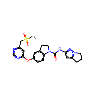 CS(=O)(=O)Cc1cc(Oc2ccc3c(c2)CCN3C(=O)Nc2cc3n(n2)CCC3)ncn1